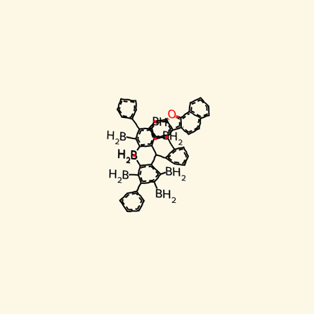 Bc1c(B)c(C(c2ccccc2-c2cccc3oc4c5ccccc5ccc4c23)c2c(B)c(B)c(-c3ccccc3)c(B)c2B)c(B)c(B)c1-c1ccccc1